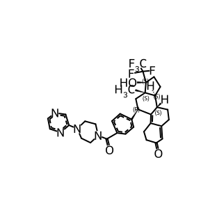 C[C@]12C[C@H](c3ccc(C(=O)N4CCN(c5cnccn5)CC4)cc3)C3=C4CCC(=O)C=C4CC[C@H]3[C@@H]1CC[C@@]2(O)C(F)(F)C(F)(F)F